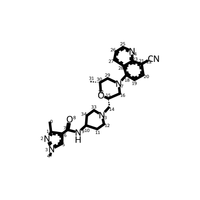 Cc1nn(C)cc1C(=O)NC1CCN(C[C@H]2CN(c3ccc(C#N)c4ncccc34)C[C@@H](C)O2)CC1